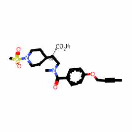 CC#CCOc1ccc(C(=O)N(C)C[C@@H](C(=O)O)C2CCN(S(C)(=O)=O)CC2)cc1